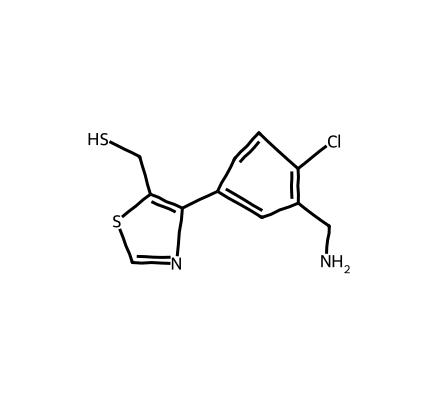 NCc1cc(-c2ncsc2CS)ccc1Cl